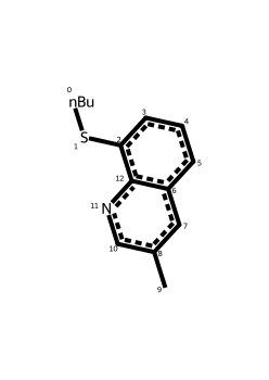 CCCCSc1cccc2cc(C)cnc12